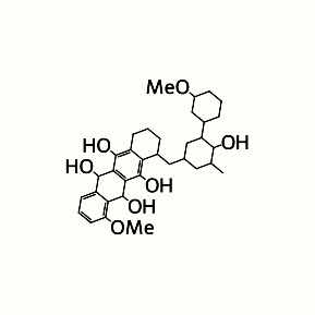 COc1cccc2c1C(O)c1c(O)c3c(c(O)c1C2O)CCCC3CC1CC(C)C(O)C(C2CCCC(OC)C2)C1